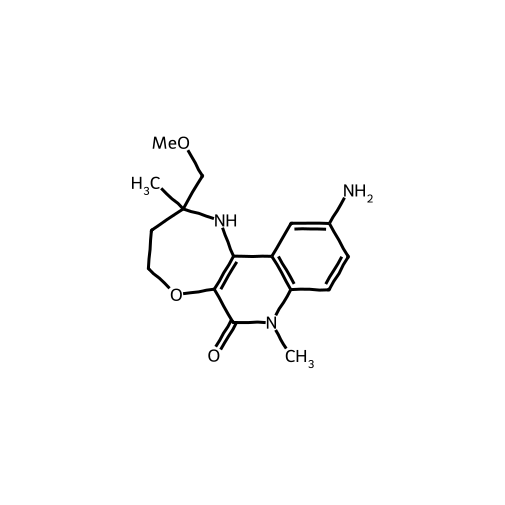 COCC1(C)CCOc2c(c3cc(N)ccc3n(C)c2=O)N1